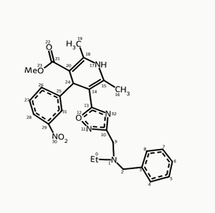 CCN(Cc1ccccc1)Cc1noc(C2=C(C)NC(C)=C(C(=O)OC)C2c2cccc([N+](=O)[O-])c2)n1